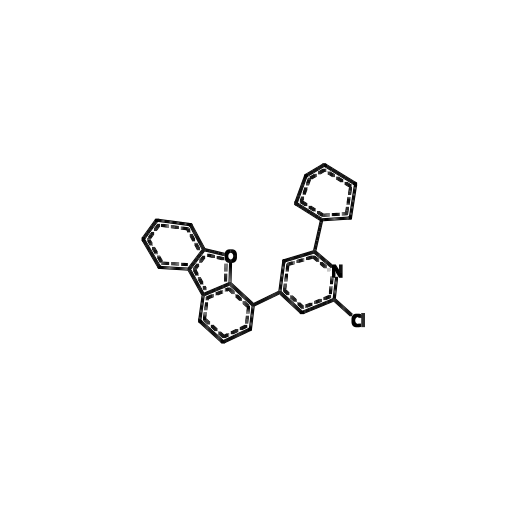 Clc1cc(-c2cccc3c2oc2ccccc23)cc(-c2ccccc2)n1